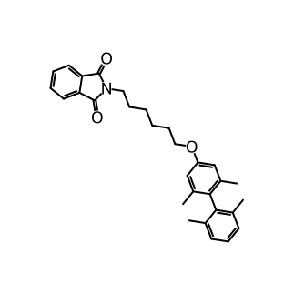 Cc1cccc(C)c1-c1c(C)cc(OCCCCCCN2C(=O)c3ccccc3C2=O)cc1C